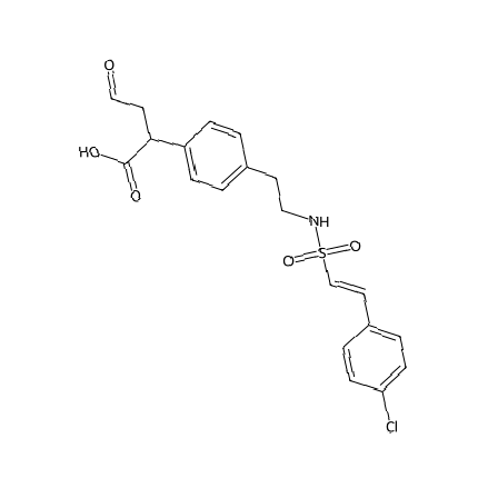 O=CCC(C(=O)O)c1ccc(CCNS(=O)(=O)/C=C/c2ccc(Cl)cc2)cc1